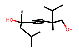 CC(C)CC(C)(O)C#CC(C)(CO)C(C)C